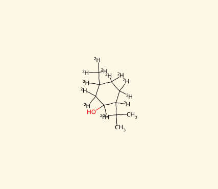 [2H]C([2H])([2H])C1([2H])C([2H])([2H])C([2H])([2H])C([2H])(C([2H])(C)C)C([2H])(O)C1([2H])[2H]